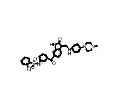 CN1CCN(c2ccc(N/C=C3/C(=O)Nc4cc(C(=O)c5cccc(NS(=O)(=O)c6ccccc6Cl)c5)ccc43)cc2)CC1